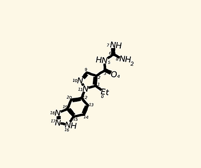 CCc1c(C(=O)NC(=N)N)cnn1-c1ccc2[nH]nnc2c1